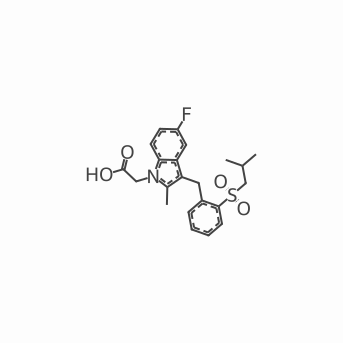 Cc1c(Cc2ccccc2S(=O)(=O)CC(C)C)c2cc(F)ccc2n1CC(=O)O